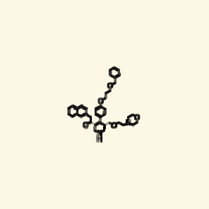 O=C(Cc1ccc2ccccc2c1)[C@H]1CNC[C@@H](COCCN2CCOCC2)[C@@H]1c1ccc(OCCCOCc2ccccc2)cc1